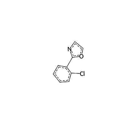 Clc1ccccc1-c1ncco1